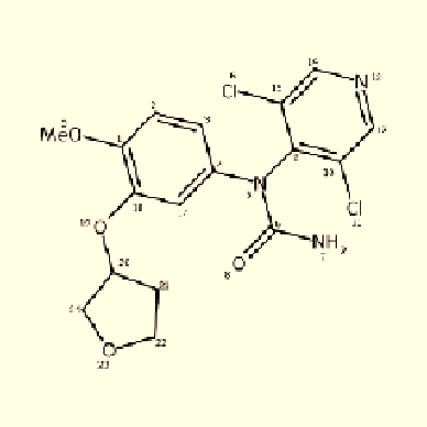 COc1ccc(N(C(N)=O)c2c(Cl)cncc2Cl)cc1OC1CCOC1